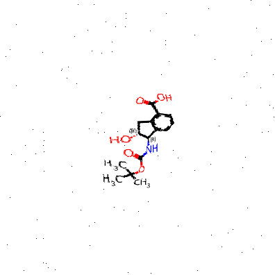 CC(C)(C)OC(=O)N[C@@H]1c2cccc(C(=O)O)c2C[C@H]1O